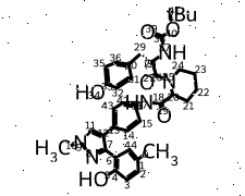 Cc1ccc(O)c(-c2nn(C)cc2-c2ccc(NC(=O)C3CCCCN3C(=O)[C@H](Cc3ccc(O)cc3)NC(=O)OC(C)(C)C)cc2)c1